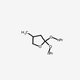 CCCOC1(OCCC)CC(C)CO1